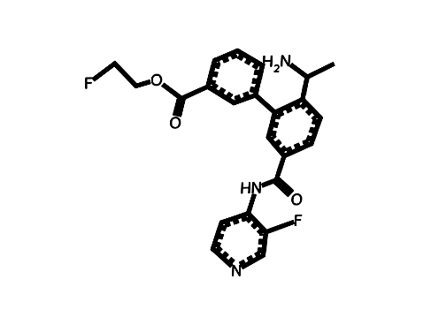 CC(N)c1ccc(C(=O)Nc2ccncc2F)cc1-c1cccc(C(=O)OCCF)c1